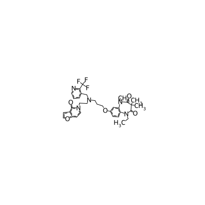 CCN1C(=O)C(C)(C)C(=O)N(C)c2cc(OCCCN(CCn3ccc4occc4c3=O)Cc3cccnc3C(F)(F)F)ccc21